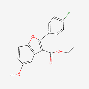 CCOC(=O)c1c(-c2ccc(F)cc2)oc2ccc(OC)cc12